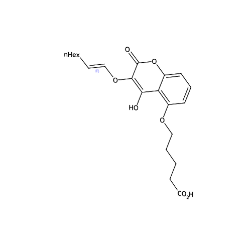 CCCCCC/C=C/Oc1c(O)c2c(OCCCCC(=O)O)cccc2oc1=O